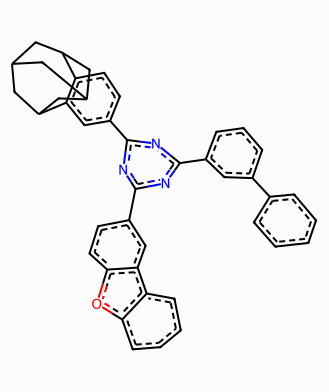 c1ccc(-c2cccc(-c3nc(-c4ccc5c(c4)C4CC6CC(CC5C6)C4)nc(-c4ccc5oc6ccccc6c5c4)n3)c2)cc1